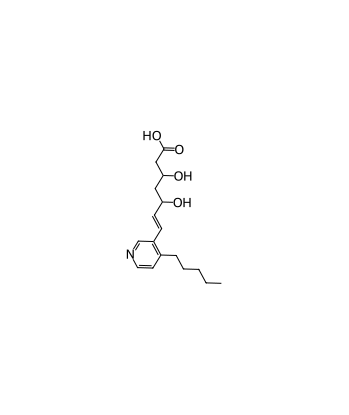 CCCCCc1ccncc1C=CC(O)CC(O)CC(=O)O